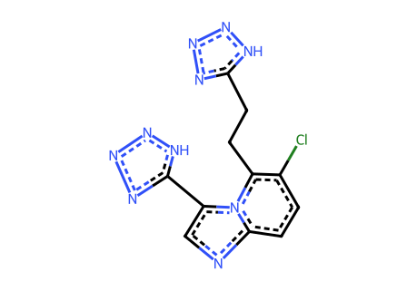 Clc1ccc2ncc(-c3nnn[nH]3)n2c1CCc1nnn[nH]1